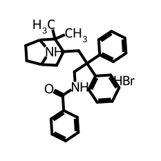 Br.CC1(C)C(CC(CNC(=O)c2ccccc2)(c2ccccc2)c2ccccc2)CC2CCC1N2